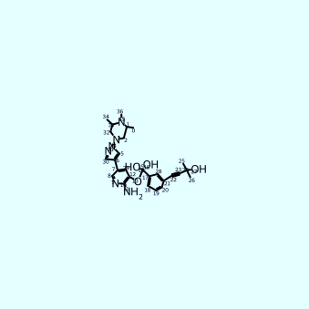 CC1CN(n2cc(-c3cnc(N)c(OC(O)(O)c4cccc(C#CC(C)(C)O)c4)c3)cn2)CC(C)N1C